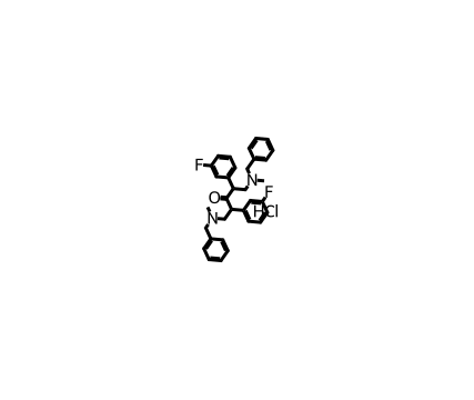 CN(Cc1ccccc1)CC(C(=O)C(CN(C)Cc1ccccc1)c1cccc(F)c1)c1cccc(F)c1.Cl